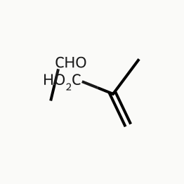 C=C(C)C(=O)O.CC=O